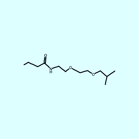 CCCC(=O)NCCOCCOCC(C)C